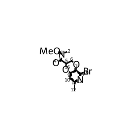 CON(C)C(=O)C1COc2c(cc(I)nc2Br)O1